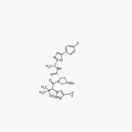 CC(NC(=O)[C@@H]1C[C@@H](O)CN1C(=O)[C@@H](n1cc(C2CC2)nn1)C(C)(C)C)c1ncc(-c2ccc(F)cc2)o1